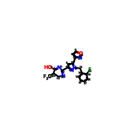 OC1=NC(c2cc(-c3ccon3)n(Cc3ccccc3F)n2)=NCC1C(F)(F)F